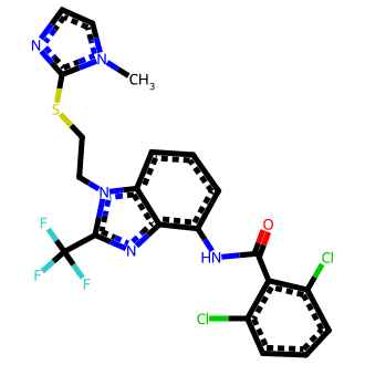 Cn1ccnc1SCCn1c(C(F)(F)F)nc2c(NC(=O)c3c(Cl)cccc3Cl)cccc21